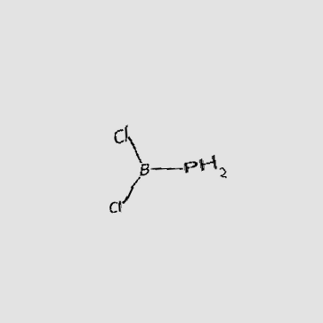 PB(Cl)Cl